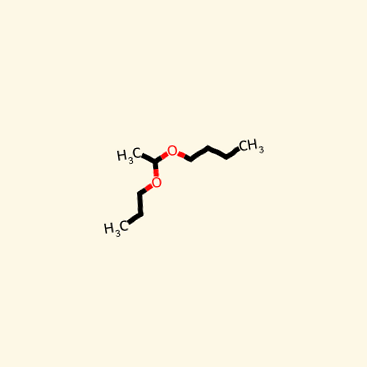 CCCCOC(C)OCCC